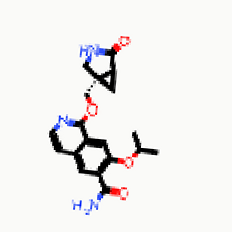 CC(C)Oc1cc2c(OC[C@]34CNC(=O)C3C4)nccc2cc1C(N)=O